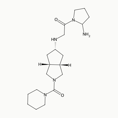 NC1CCCN1C(=O)CN[C@@H]1C[C@@H]2CN(C(=O)N3CCCCC3)C[C@@H]2C1